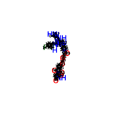 Cc1cc(Nc2nc(NCc3ccc(F)cc3F)nc3c2cnn3C2CCN(C(=O)CCOCCOc3ccc4c(c3)C(=O)N(C3CCC(=O)NC3=O)C4=O)CC2)n[nH]1